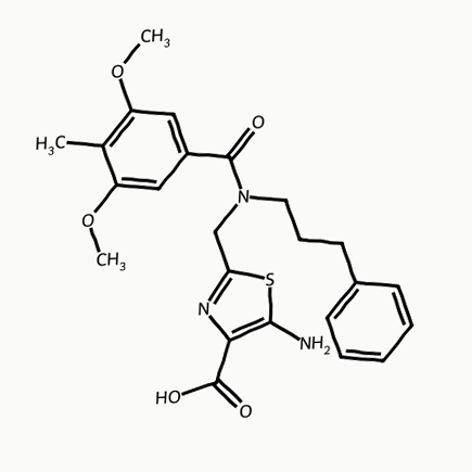 COc1cc(C(=O)N(CCCc2ccccc2)Cc2nc(C(=O)O)c(N)s2)cc(OC)c1C